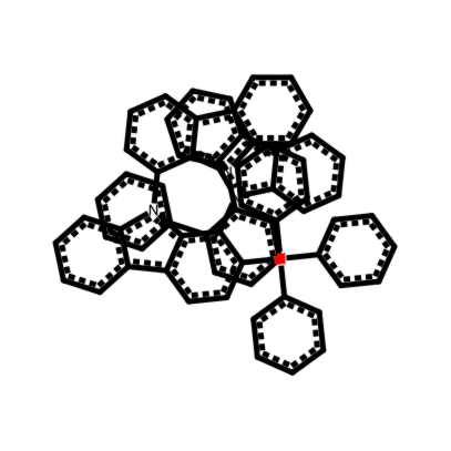 c1ccc(-c2ccccc2-n2c3ccccc3c3cccc(-n4c5ccccc5c5ccc([Si](c6ccccc6)(c6ccccc6)c6ccccc6)c(-n6c7ccccc7c7ccccc76)c54)c32)cc1